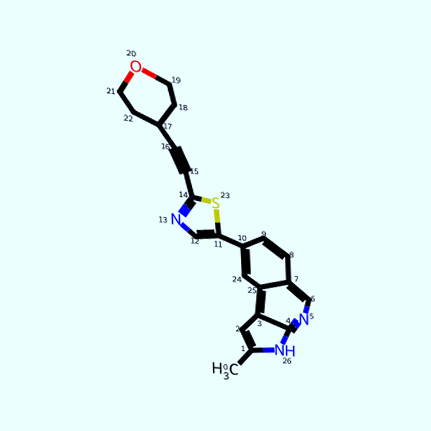 Cc1cc2c(ncc3ccc(-c4cnc(C#CC5CCOCC5)s4)cc32)[nH]1